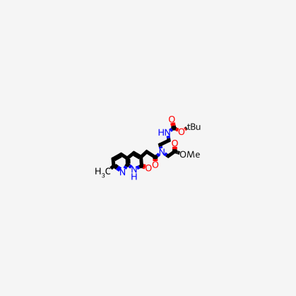 COC(=O)CN(CCNC(=O)OC(C)(C)C)C(=O)Cc1cc2ccc(C)nc2[nH]c1=O